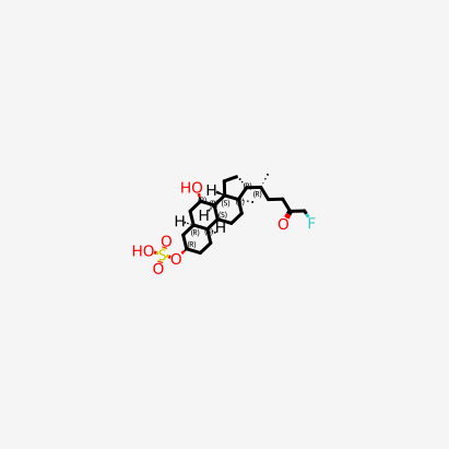 C[C@H](CCC(=O)CF)[C@H]1CC[C@H]2[C@@H]3[C@H](O)C[C@@H]4C[C@H](OS(=O)(=O)O)CC[C@]4(C)[C@H]3CC[C@]12C